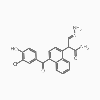 NN=CC(C(N)=O)c1ccc(C(=O)c2ccc(O)c(Cl)c2)c2ccccc12